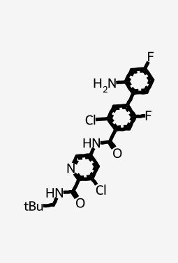 CC(C)(C)CNC(=O)c1ncc(NC(=O)c2cc(F)c(-c3ccc(F)cc3N)cc2Cl)cc1Cl